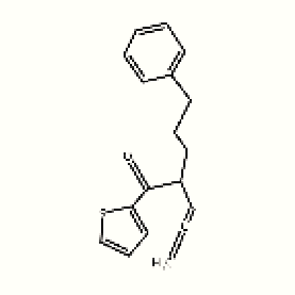 C=C=CC(CCCc1ccccc1)C(=O)c1cccs1